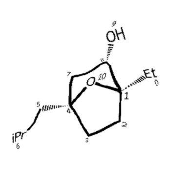 CC[C@@]12CC[C@@](CC(C)C)(C[C@@H]1O)O2